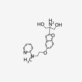 CN(CCOc1ccc2oc(C(N)(CO)CO)cc2c1)c1ccccn1